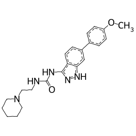 COc1ccc(-c2ccc3c(NC(=O)NCCN4CCCCC4)n[nH]c3c2)cc1